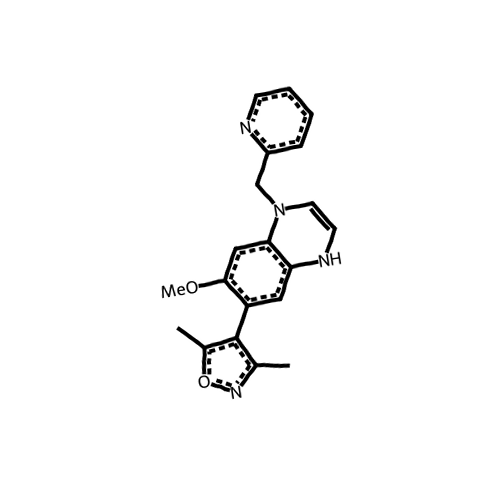 COc1cc2c(cc1-c1c(C)noc1C)NC=CN2Cc1ccccn1